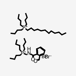 CCCCCCCCCCCC[P+](CCCC)(CCCC)CCCC.CCCC[P+](CCCC)(CCCC)CNC(=O)c1ccccc1C=O.[Br-].[Br-]